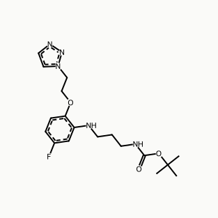 CC(C)(C)OC(=O)NCCCNc1cc(F)ccc1OCCn1ccnn1